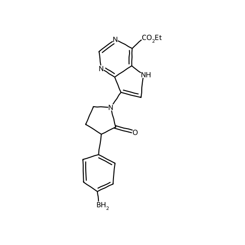 Bc1ccc(C2CCN(c3c[nH]c4c(C(=O)OCC)ncnc34)C2=O)cc1